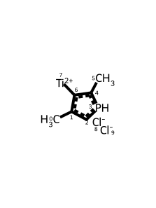 Cc1c[pH]c(C)[c]1[Ti+2].[Cl-].[Cl-]